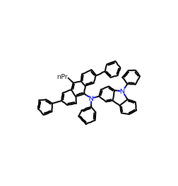 CCCc1c2cc(-c3ccccc3)ccc2c(N(c2ccccc2)c2ccc3c(c2)c2ccccc2n3-c2ccccc2)c2cc(-c3ccccc3)ccc12